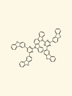 c1ccc2c(c1)oc1ccc(-c3cc(-c4ccc5oc6ccccc6c5c4)nc(-n4c5ccccc5c5c4ccc4c6ccccc6n(-c6nc(-c7ccc8sc9ccccc9c8c7)nc(-c7ccc8sc9ccccc9c8c7)n6)c45)n3)cc12